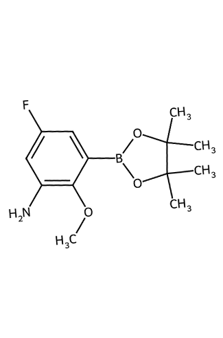 COc1c(N)cc(F)cc1B1OC(C)(C)C(C)(C)O1